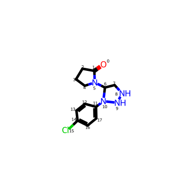 O=C1CCCN1C1CNNN1c1ccc(Cl)cc1